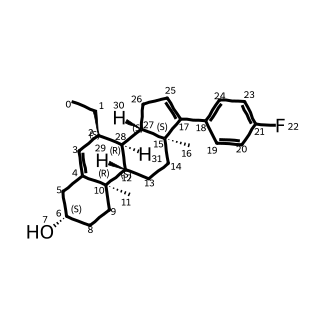 CC[C@@H]1C=C2C[C@@H](O)CC[C@]2(C)[C@H]2CC[C@]3(C)C(c4ccc(F)cc4)=CC[C@H]3[C@H]12